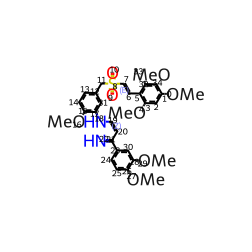 COc1cc(OC)c(/C=C/S(=O)(=O)Cc2ccc(OC)c(N/C=C\C(=N)c3ccc(OC)c(OC)c3)c2)c(OC)c1